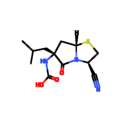 CC(C)C[C@@]1(NC(=O)O)C[C@@H]2SC[C@@H](C#N)N2C1=O